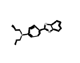 C=CCN(CC=C)c1ccc(-c2nc3ccccc3o2)cc1